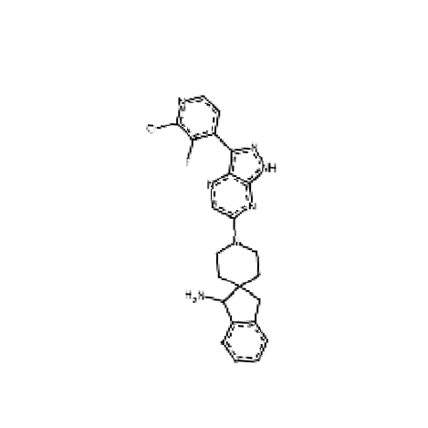 NC1c2ccccc2CC12CCN(c1cnc3c(-c4ccnc(Cl)c4F)n[nH]c3n1)CC2